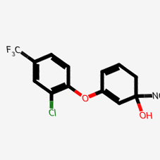 O=[N+]([O-])C1(O)C=C(Oc2ccc(C(F)(F)F)cc2Cl)C=CC1